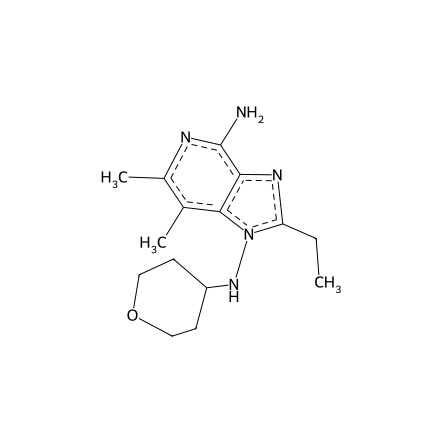 CCc1nc2c(N)nc(C)c(C)c2n1NC1CCOCC1